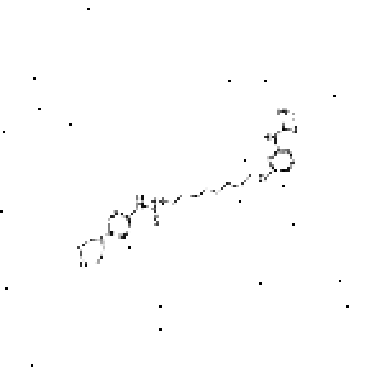 NC(=S)Nc1cccc(OCCCCCCCCNC(=S)Nc2ccc(N3CCOCC3)cc2)c1